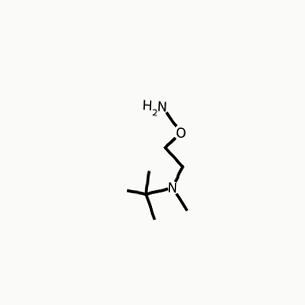 CN(CCON)C(C)(C)C